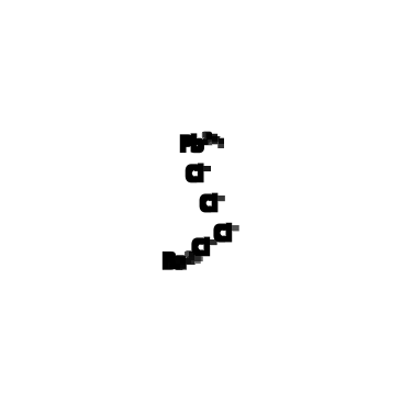 [Ba+2].[Cl-].[Cl-].[Cl-].[Cl-].[Pb+2]